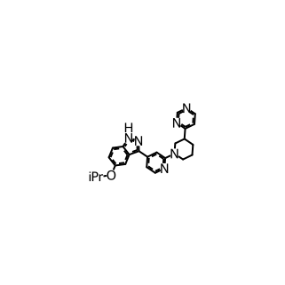 CC(C)Oc1ccc2[nH]nc(-c3ccnc(N4CCCC(c5ccncn5)C4)c3)c2c1